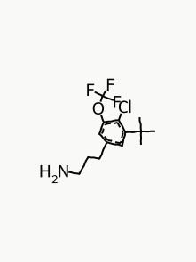 CC(C)(C)c1cc(CCCN)cc(OC(F)(F)F)c1Cl